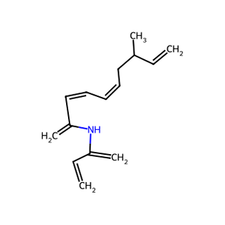 C=CC(=C)NC(=C)/C=C\C=C/CC(C)C=C